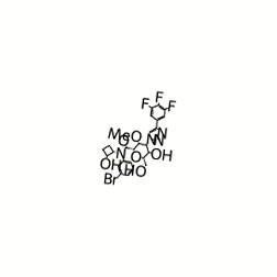 CO[C@@H]1[C@@H](n2cc(-c3cc(F)c(F)c(F)c3)nn2)[C@@H](O)[C@@H](CO)O[C@H]1C(=O)N(c1cccc(Br)c1)[C@H]1CC[C@@H]1O